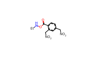 CCNOC(=O)c1ccc(C[N+](=O)[O-])cc1C[N+](=O)[O-]